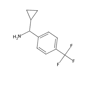 NC(c1ccc(C(F)(F)F)cc1)C1CC1